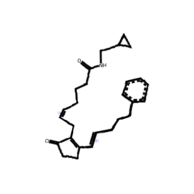 O=C(CCC/C=C\CC1=C(/C=C/CCCc2ccccc2)CCC1=O)NCC1CC1